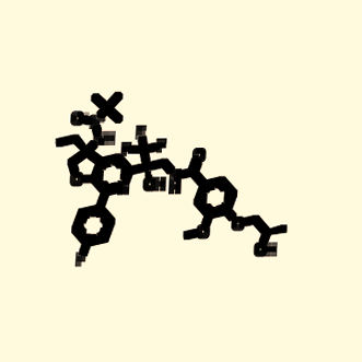 CC[C@]1(N[S+]([O-])C(C)(C)C)COc2c1cc([C@](O)(CNC(=O)c1ccc(OC[C@@H](C)O)c(OC)c1)C(F)(F)F)nc2-c1ccc(F)cc1